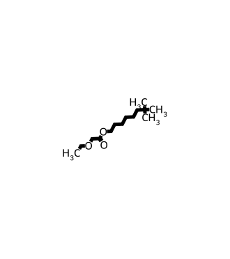 CCOCC(=O)OCCCCCCC(C)(C)C